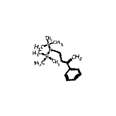 C=C(CCN([Si](C)(C)C)[Si](C)(C)C)c1ccccc1